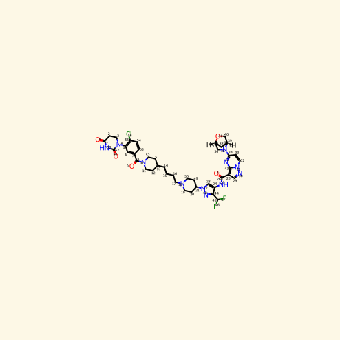 O=C1CCN(c2cc(C(=O)N3CCC(CCCCN4CCC(n5cc(NC(=O)c6cnn7ccc(N8C[C@H]9C[C@@H]8CO9)nc67)c(C(F)F)n5)CC4)CC3)ccc2Cl)C(=O)N1